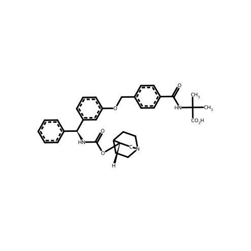 CC(C)(NC(=O)c1ccc(COc2cccc([C@@H](NC(=O)O[C@H]3CN4CCC3CC4)c3ccccc3)c2)cc1)C(=O)O